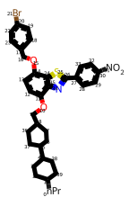 CCCC1CCC(C2CCC(COc3ccc(OCc4ccc(Br)cc4)c4sc(-c5ccc([N+](=O)[O-])cc5)nc34)CC2)CC1